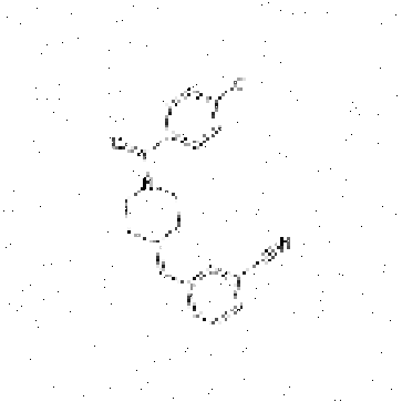 N#Cc1cccc(C=C2CCN(C(=O)c3ccc(Cl)cc3)CC2)c1